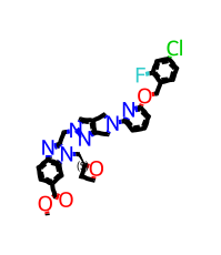 COC(=O)c1ccc2nc(Cn3cc4c(n3)CN(c3cccc(OCc5ccc(Cl)cc5F)n3)C4)n(C[C@@H]3CCO3)c2c1